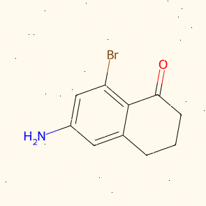 Nc1cc(Br)c2c(c1)CCCC2=O